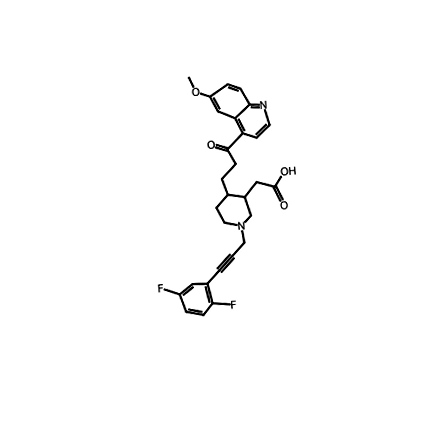 COc1ccc2nccc(C(=O)CCC3CCN(CC#Cc4cc(F)ccc4F)CC3CC(=O)O)c2c1